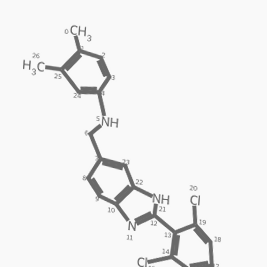 Cc1ccc(NCc2ccc3nc(-c4c(Cl)cccc4Cl)[nH]c3c2)cc1C